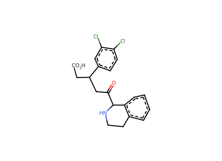 O=C(O)CC(CC(=O)C1NCCc2ccccc21)c1ccc(Cl)c(Cl)c1